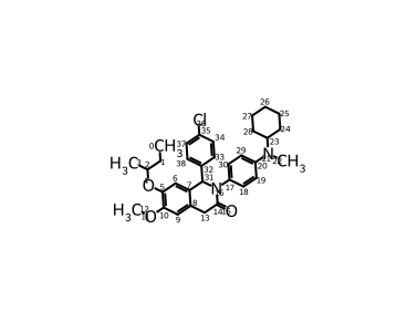 CCC(C)Oc1cc2c(cc1OC)CC(=O)N(c1ccc(N(C)C3CCCCC3)cc1)C2c1ccc(Cl)cc1